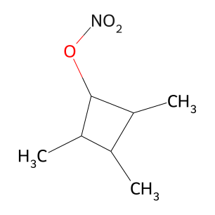 CC1C(C)C(O[N+](=O)[O-])C1C